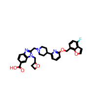 O=C(O)c1ccc2nc(CN3CCC(c4cccc(OCc5ccc(F)c6ccoc56)n4)CC3)n(CC3CCO3)c2c1